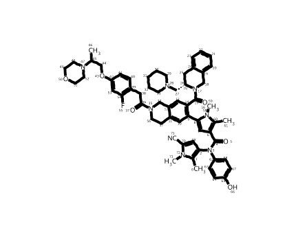 Cc1c(N(C(=O)c2cc(-c3cc4c(cc3C(=O)N3Cc5ccccc5C[C@H]3CN3CCCCC3)CN(C(=O)Cc3ccc(OCC(C)N5CCOCC5)cc3F)CC4)n(C)c2C)c2ccc(O)cc2)cc(C#N)n1C